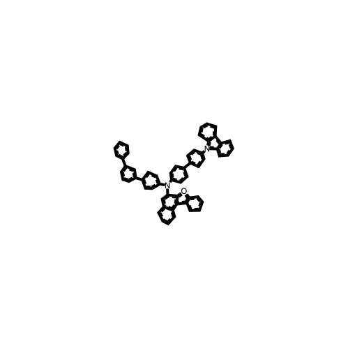 c1ccc(-c2cccc(-c3ccc(N(c4ccc(-c5ccc(-n6c7ccccc7c7ccccc76)cc5)cc4)c4cc5ccccc5c5c4oc4ccccc45)cc3)c2)cc1